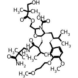 COCCCOc1cc(C[C@H](C[C@H]2[C@H](C[C@H](C(=O)NCC(C)(C)C(N)=O)C(C)C)OC(COC(=O)C(C)(C)CO)N2C(=O)O)C(C)C)ccc1OC